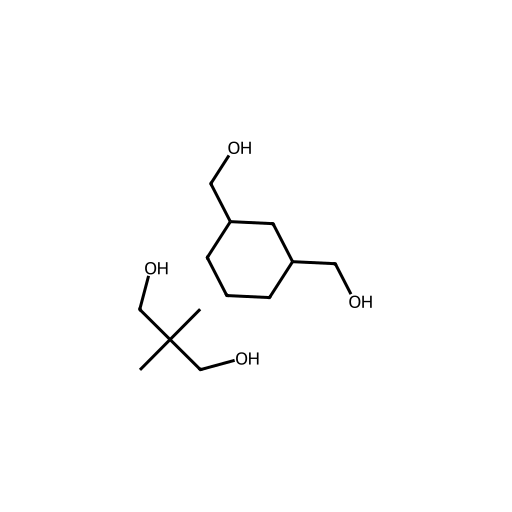 CC(C)(CO)CO.OCC1CCCC(CO)C1